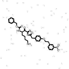 NCCCCC(NC(=O)OCc1ccccc1)C(=O)c1noc(Cc2ccc(OCCc3cccc([N+](=O)[O-])c3)cc2)n1